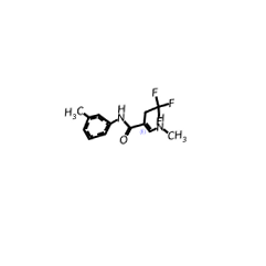 CN/C=C(\CC(F)(F)F)C(=O)Nc1cccc(C)c1